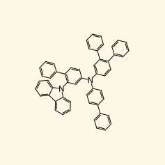 c1ccc(-c2ccc(N(c3ccc(-c4ccccc4)c(-c4ccccc4)c3)c3ccc(-c4ccccc4)c(-n4c5ccccc5c5ccccc54)c3)cc2)cc1